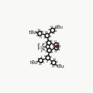 CC(C)(C)c1ccc(-c2cc(-c3ccc(C(C)(C)C)cc3)cc(-c3cc(-c4ccccc4)c4c(c3)C(C(F)(F)F)(C(F)(F)F)c3cc(-c5cc(-c6ccc(C(C)(C)C)cc6)cc(-c6ccc(C(C)(C)C)cc6)c5)cc(-c5ccccc5)c3-4)c2)cc1